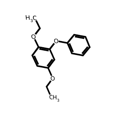 CCOc1ccc(OCC)c(Oc2ccccc2)c1